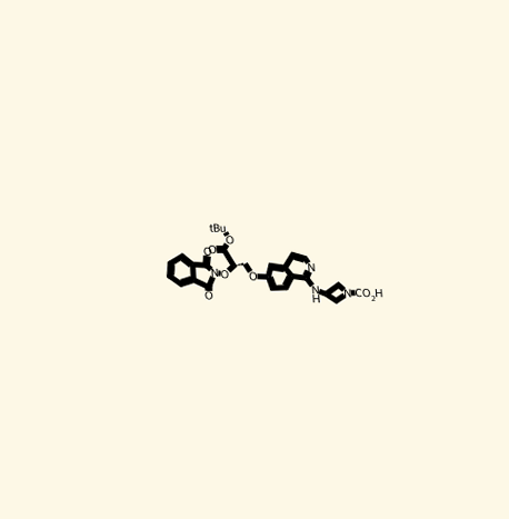 CC(C)(C)OC(=O)[C@H](COc1ccc2c(NC3CN(C(=O)O)C3)nccc2c1)ON1C(=O)c2ccccc2C1=O